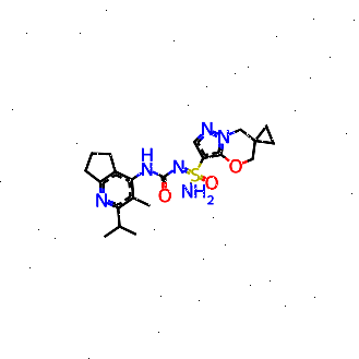 Cc1c(C(C)C)nc2c(c1NC(=O)N=S(N)(=O)c1cnn3c1OCC1(CC1)C3)CCC2